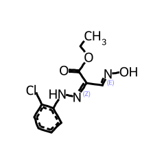 CCOC(=O)C(/C=N/O)=N\Nc1ccccc1Cl